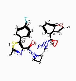 Cc1nc(C(=O)N2CC[C@H]2CNC(=O)c2cccc3occc23)c(-c2ccc(F)cc2)s1